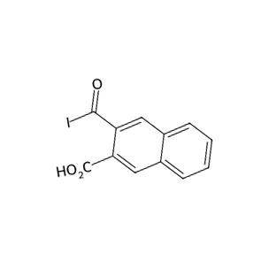 O=C(O)c1cc2ccccc2cc1C(=O)I